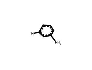 [N]c1cccc(N)c1